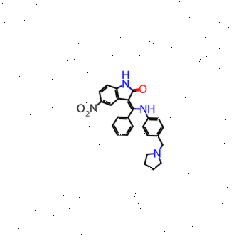 O=C1Nc2ccc([N+](=O)[O-])cc2/C1=C(/Nc1ccc(CN2CCCC2)cc1)c1ccccc1